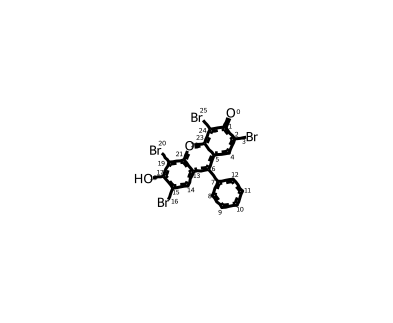 O=c1c(Br)cc2c(-c3ccccc3)c3cc(Br)c(O)c(Br)c3oc-2c1Br